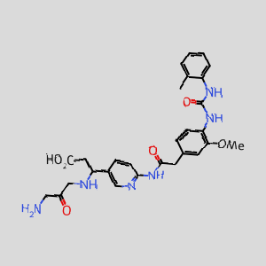 COc1cc(CC(=O)Nc2ccc(C(CC(=O)O)NCC(=O)CN)cn2)ccc1NC(=O)Nc1ccccc1C